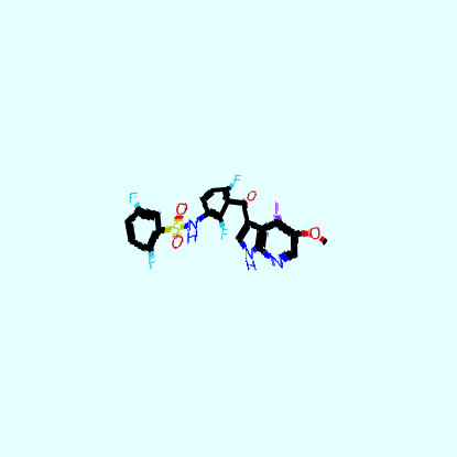 COc1cnc2[nH]cc(C(=O)c3c(F)ccc(NS(=O)(=O)c4cc(F)ccc4F)c3F)c2c1I